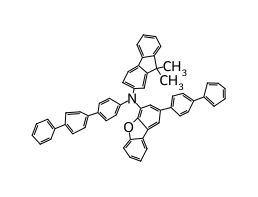 CC1(C)c2ccccc2-c2ccc(N(c3ccc(-c4ccc(-c5ccccc5)cc4)cc3)c3cc(-c4ccc(-c5ccccc5)cc4)cc4c3oc3ccccc34)cc21